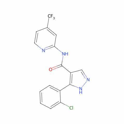 O=C(Nc1cc(C(F)(F)F)ccn1)c1cn[nH]c1-c1ccccc1Cl